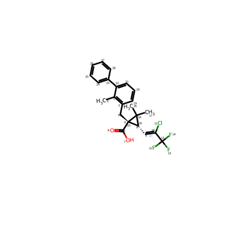 Cc1c(C[C@]2(C(=O)O)[C@@H](/C=C(\Cl)C(F)(F)F)C2(C)C)cccc1-c1ccccc1